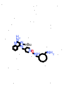 CCCCc1nc2c(N)nc3ccccc3c2n1CC1CCN(OCNCC2CCCCCCC(CN)CC2)CC1